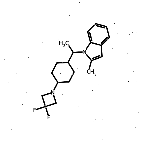 Cc1cc2ccccc2n1C(C)C1CCC(N2CC(F)(F)C2)CC1